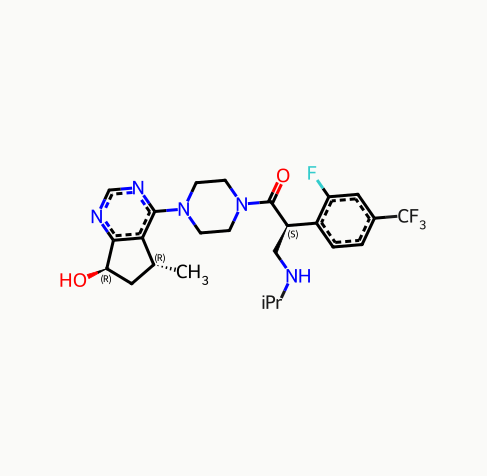 CC(C)NC[C@@H](C(=O)N1CCN(c2ncnc3c2[C@H](C)C[C@H]3O)CC1)c1ccc(C(F)(F)F)cc1F